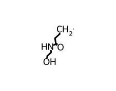 [CH2]CCC(=O)NCCO